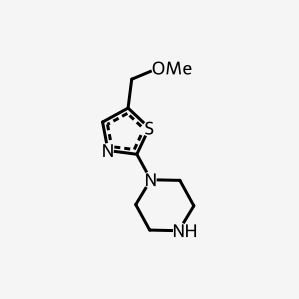 COCc1cnc(N2CCNCC2)s1